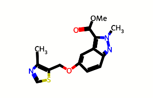 COC(=O)c1c2cc(OCc3scnc3C)ccc2nn1C